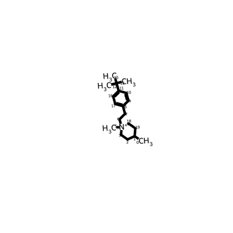 CC1CC[N+](C)(CCc2ccc(C(C)(C)C)cc2)CC1